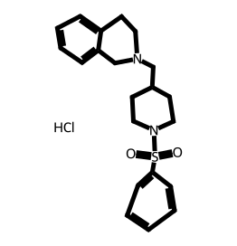 Cl.O=S(=O)(c1ccccc1)N1CCC(CN2CCc3ccccc3C2)CC1